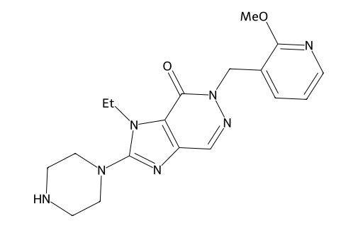 CCn1c(N2CCNCC2)nc2cnn(Cc3cccnc3OC)c(=O)c21